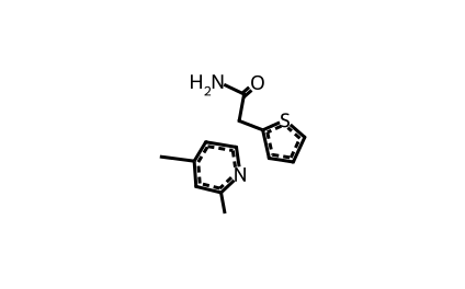 Cc1ccnc(C)c1.NC(=O)Cc1cccs1